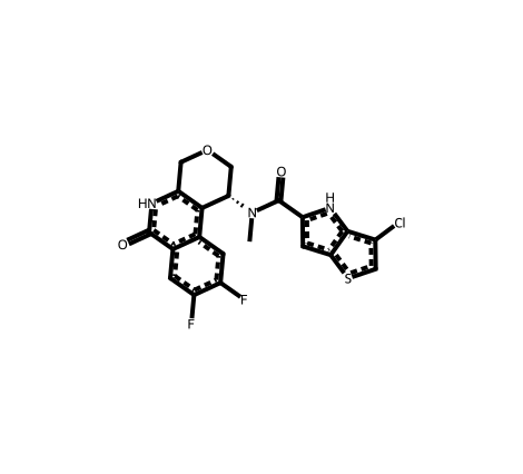 CN(C(=O)c1cc2scc(Cl)c2[nH]1)[C@H]1COCc2[nH]c(=O)c3cc(F)c(F)cc3c21